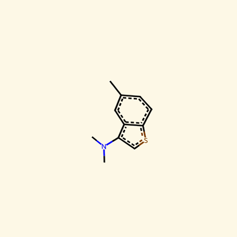 Cc1ccc2scc(N(C)C)c2c1